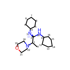 CC(/C(=N/C1CCCCC1)NC1CCCCC1)N1CCOCC1